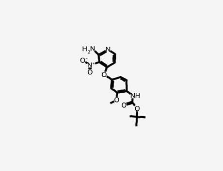 COc1cc(Oc2ccnc(N)c2[N+](=O)[O-])ccc1NC(=O)OC(C)(C)C